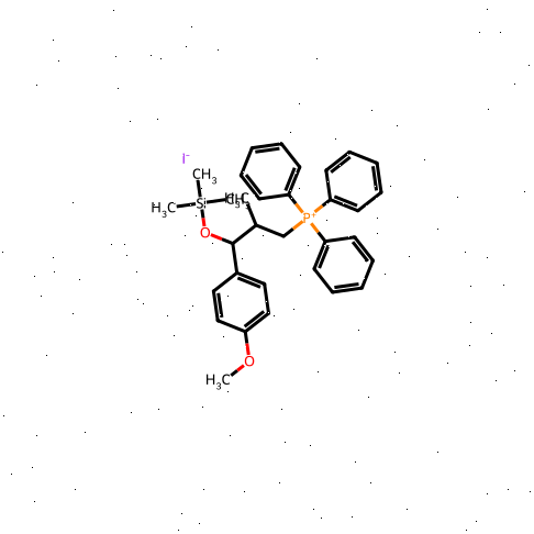 COc1ccc(C(O[Si](C)(C)C)C(C)C[P+](c2ccccc2)(c2ccccc2)c2ccccc2)cc1.[I-]